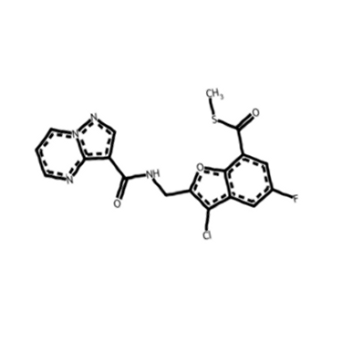 CSC(=O)c1cc(F)cc2c(Cl)c(CNC(=O)c3cnn4cccnc34)oc12